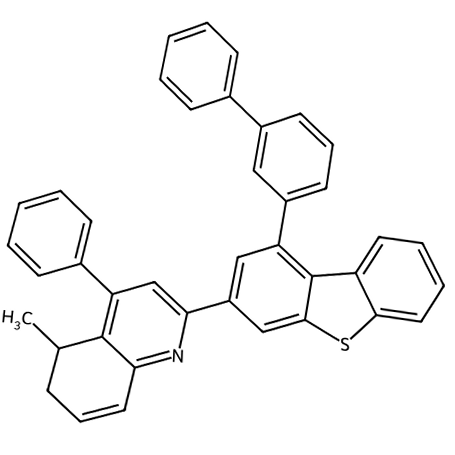 CC1CC=Cc2nc(-c3cc(-c4cccc(-c5ccccc5)c4)c4c(c3)sc3ccccc34)cc(-c3ccccc3)c21